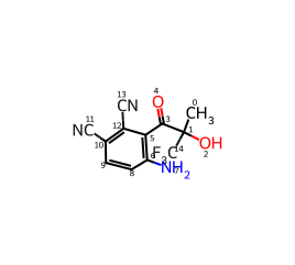 CC(O)(C(=O)c1c(N)ccc(C#N)c1C#N)C(F)(F)F